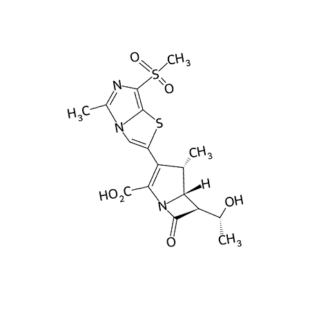 Cc1nc(S(C)(=O)=O)c2sc(C3=C(C(=O)O)N4C(=O)[C@H]([C@@H](C)O)[C@H]4[C@H]3C)cn12